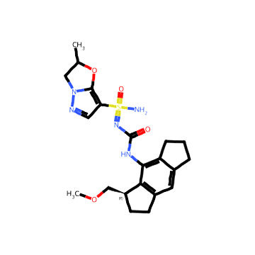 COC[C@@H]1CCc2cc3c(c(NC(=O)N=S(N)(=O)c4cnn5c4OC(C)C5)c21)CCC3